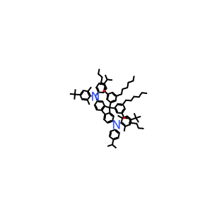 CCCCCCc1cc(CCCCCC)cc(C2(c3cc(CCCCCC)cc(CCCCCC)c3)c3cc(N(c4ccc(C(C)C)cc4)c4c(C)cc(C(C)(C)C)cc4C)ccc3-c3ccc(N(c4ccc(C(C)C)cc4)c4c(C)cc(C(C)(C)C)cc4C)cc32)c1